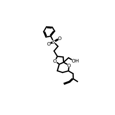 C=C=C(C)CC1CCC2OC(CCS(=O)(=O)c3ccccc3)CC2(CO)O1